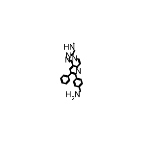 CNCc1nnc2c3cc(-c4ccccc4)c(-c4ccc(CN)cc4)nc3ccn12